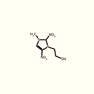 CN1C=C([N+](=O)[O-])N(CCO)C1[N+](=O)[O-]